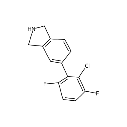 Fc1ccc(F)c(-c2ccc3c(c2)CNC3)c1Cl